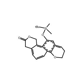 CC(C)(C)[Si](C)(C)Oc1cc2c(c3c1=C1COC(=O)CC1=CC=C3)OCCC=2